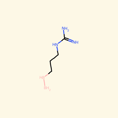 BBCCCNC(=N)N